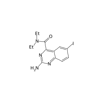 CCN(CC)C(=O)c1nc(N)nc2ccc(I)cc12